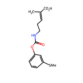 CSc1cccc(OC(=O)NCC/C=C(\C)C(=O)O)c1